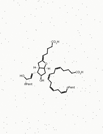 CCCCC/C=C\C/C=C\C/C=C\C/C=C\CCCC(=O)O.CCCCC[C@H](O)/C=C/[C@@H]1[C@H]2C/C(=C/CCCC(=O)O)O[C@H]2C[C@H]1O